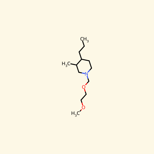 CCCC1CCN(COCCOC)CC1C